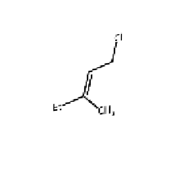 CCC(C)=CCCl